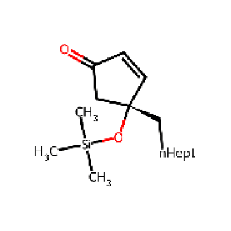 CCCCCCCC[C@]1(O[Si](C)(C)C)C=CC(=O)C1